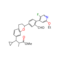 CCOc1cc(-c2ccc(C3CCc4ccc(C(C5CC5)C(C)C(=O)OC)cc4O3)cc2C=O)c(F)cn1